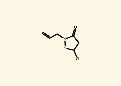 C=CCN1SC(Cl)CC1=O